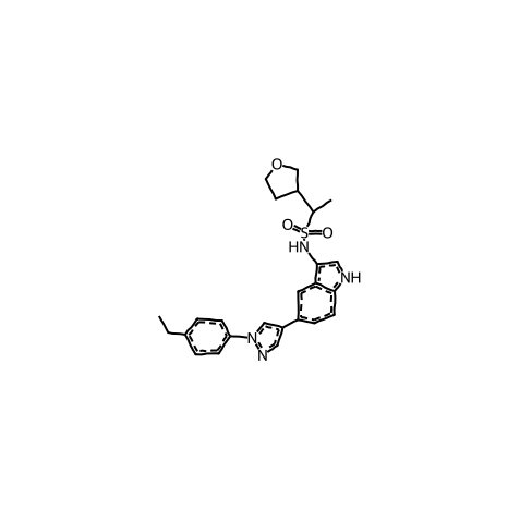 CCc1ccc(-n2cc(-c3ccc4[nH]cc(NS(=O)(=O)C(C)C5CCOC5)c4c3)cn2)cc1